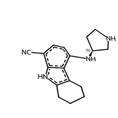 N#Cc1ccc(N[C@H]2CCNC2)c2c3c([nH]c12)CCCC3